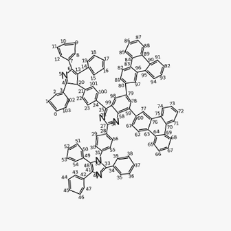 c1ccc(C2=NC(c3ccccc3)=C(c3ccccc3)C2c2ccc(-c3nc(-c4ccc(-n5c(-c6ccccc6)nc(-c6ccccc6)c5-c5ccccc5)cc4)nc4c(-c5ccc6c7ccccc7c7ccccc7c6c5)cc(-c5ccc6c7ccccc7c7ccccc7c6c5)cc34)cc2)cc1